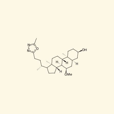 CO[C@@H]1C[C@@H]2C[C@H](O)CC[C@]2(C)[C@H]2CC[C@]3(C)C([C@H](C)CCc4nnc(C)o4)CC[C@H]3[C@H]12